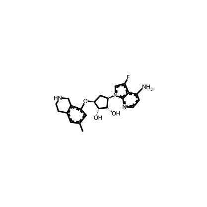 Cc1cc2c(c(O[C@H]3C[C@@H](n4cc(F)c5c(N)ccnc54)[C@H](O)[C@@H]3O)c1)CNCC2